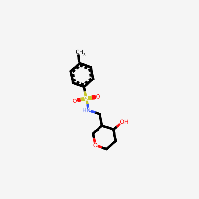 Cc1ccc(S(=O)(=O)NCC2COCCC2O)cc1